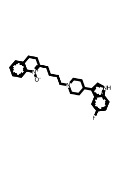 [O-][N+]1=C(CCCCN2CCC(c3c[nH]c4ccc(F)cc34)CC2)CCc2ccccc21